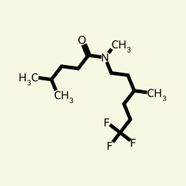 CC(C)CCC(=O)N(C)CCC(C)CCC(F)(F)F